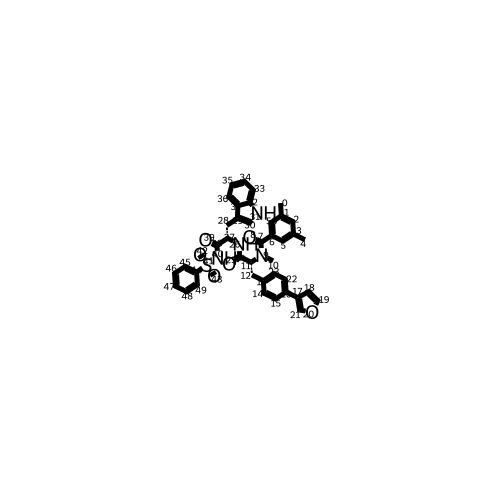 Cc1cc(C)cc(C(=O)N(C)[C@H](Cc2ccc(-c3ccoc3)cc2)C(=O)N[C@@H](Cc2c[nH]c3ccccc23)C(=O)NS(=O)(=O)c2ccccc2)c1